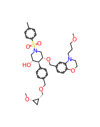 COCCCN1CCOc2ccc(CO[C@H]3CN(S(=O)(=O)c4ccc(C)cc4)C[C@@H](O)[C@@H]3c3ccc(COC[C@@H]4C[C@@H]4OC)cc3)cc21